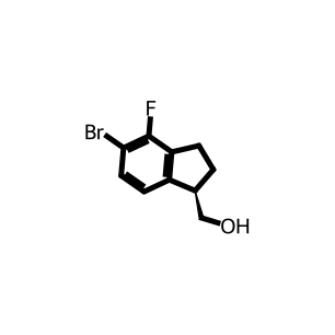 OC[C@@H]1CCc2c1ccc(Br)c2F